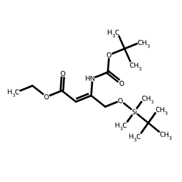 CCOC(=O)C=C(CO[Si](C)(C)C(C)(C)C)NC(=O)OC(C)(C)C